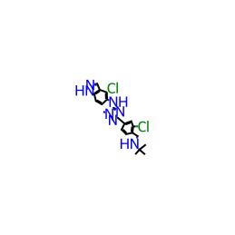 Cn1nc(-c2ccc(CNC(C)(C)C)c(Cl)c2)nc1Nc1ccc2[nH]ncc2c1Cl